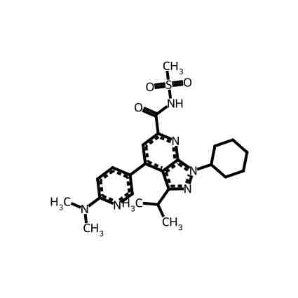 CC(C)c1nn(C2CCCCC2)c2nc(C(=O)NS(C)(=O)=O)cc(-c3ccc(N(C)C)nc3)c12